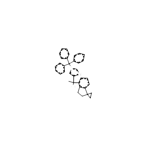 CC(O)(c1cn(C(c2ccccc2)(c2ccccc2)c2ccccc2)cn1)c1cccc2c1CCC21CC1